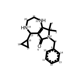 CC1(C)C2=C(C(=O)N1Cc1ccccc1)C(C1CC1)NCCN2